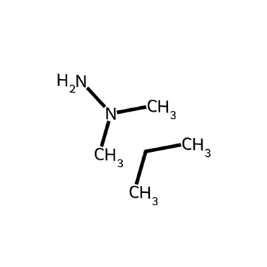 CCC.CN(C)N